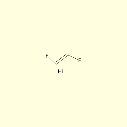 FC=CF.I